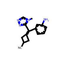 Cn1cnnc1C(=C1CC(C#N)C1)c1cccc(N)c1